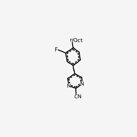 CCCCCCCCc1ccc(-c2cnc(C#N)nc2)cc1F